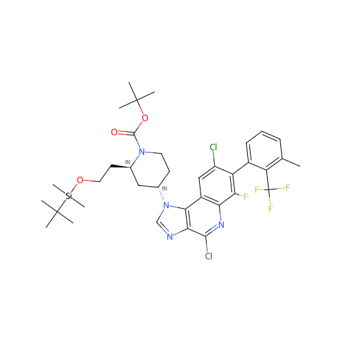 Cc1cccc(-c2c(Cl)cc3c(nc(Cl)c4ncn([C@H]5CCN(C(=O)OC(C)(C)C)[C@H](CCO[Si](C)(C)C(C)(C)C)C5)c43)c2F)c1C(F)(F)F